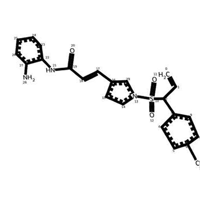 C=CC(c1ccc(C)cc1)S(=O)(=O)n1ccc(/C=C/C(=O)Nc2ccccc2N)c1